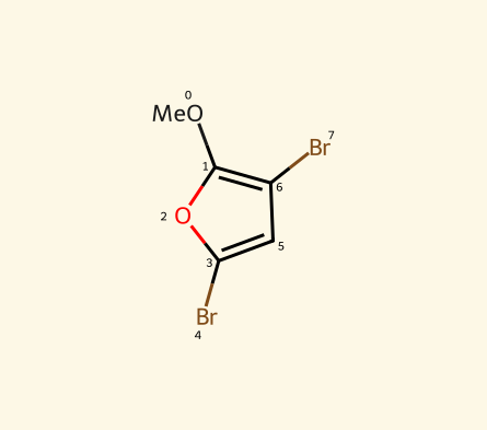 COc1oc(Br)cc1Br